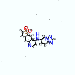 CC1=Cc2cc3nccc(Nc4ccc5ncnn5c4)c3cc2S1(=O)=O